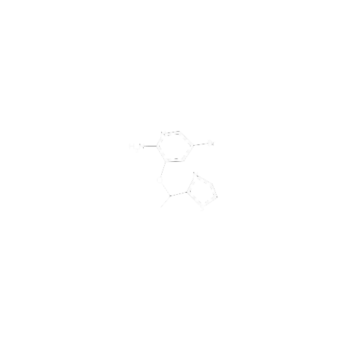 CC(Oc1cc(Br)cnc1N)c1nccs1